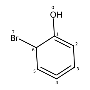 OC1=CC=C=CC1Br